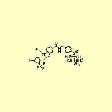 BC(B)(B)C(B)(B)[S+]([O-])c1ccc(CNC(=O)c2ccc3c(c2)cc(Cc2ccc(F)cc2C(F)(F)F)n3CCF)cc1